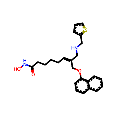 O=C(CCCC/C=C(/CNCc1cccs1)COc1cccc2ccccc12)NO